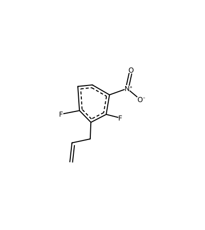 C=CCc1c(F)ccc([N+](=O)[O-])c1F